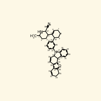 CC1CCC(C2=CCCCC2c2cccc(N3c4ccccc4C4c5oc6c(c5C=CC43)C=CCC6)c2)C(C#N)N1